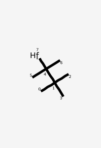 CC(C)(C)[C](C)(C)[Hf]